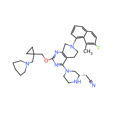 Cc1c(F)ccc2cccc(N3CCc4c(nc(OCC5(CN6CCCCC6)CC5)nc4N4CCN[C@@H](CC#N)C4)C3)c12